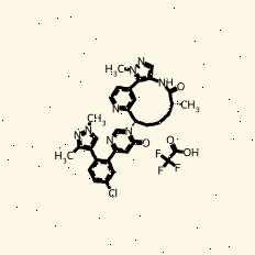 Cc1nn(C)cc1-c1ccc(Cl)cc1-c1cc(=O)n([C@H]2CCC[C@@H](C)C(=O)Nc3cnn(C)c3-c3ccnc2c3)cn1.O=C(O)C(F)(F)F